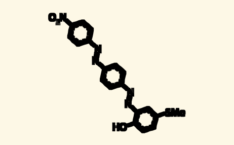 CSc1ccc(O)c(/N=N/c2ccc(/N=N/c3ccc([N+](=O)[O-])cc3)cc2)c1